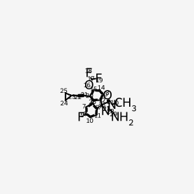 CN1C(=O)[C@@](c2ccc(F)cc2)(c2ccc(OC(F)F)c(C#CC3CC3)c2)N=C1N